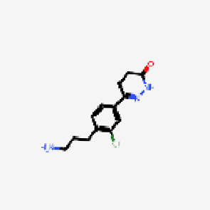 NCCCc1ccc(C2=NNC(=O)CC2)cc1Cl